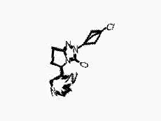 O=c1n(C23CC(Cl)(C2)C3)nc2n1C(c1cnccn1)CC2